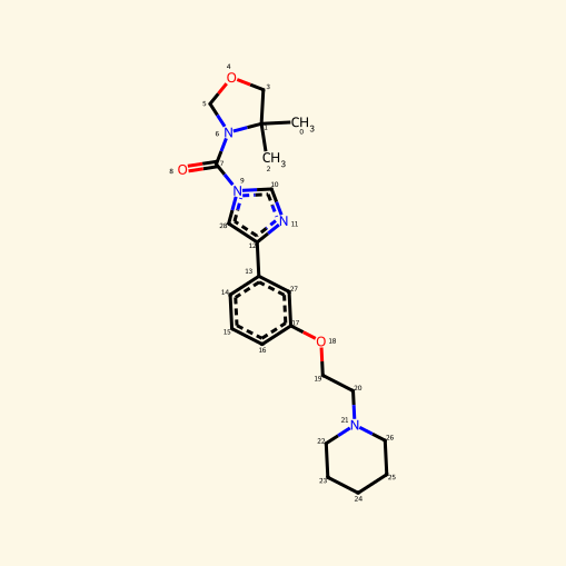 CC1(C)COCN1C(=O)n1cnc(-c2cccc(OCCN3CCCCC3)c2)c1